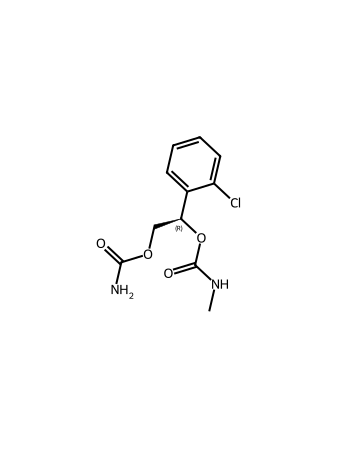 CNC(=O)O[C@@H](COC(N)=O)c1ccccc1Cl